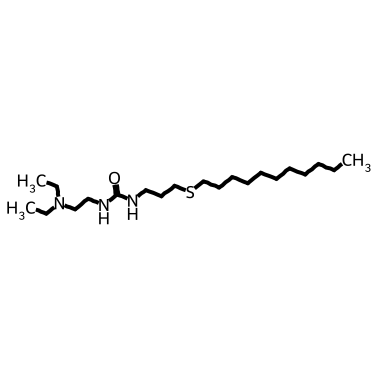 CCCCCCCCCCCSCCCNC(=O)NCCN(CC)CC